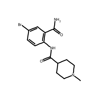 CN1CCC(C(=O)Nc2ccc(Br)cc2C(N)=O)CC1